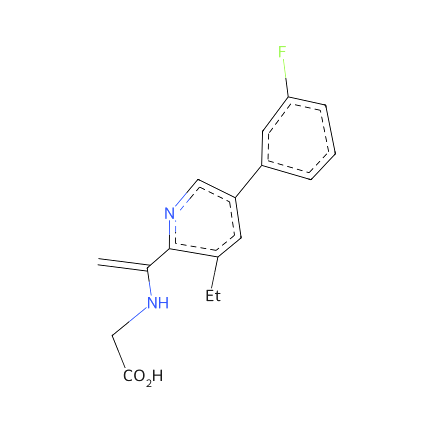 C=C(NCC(=O)O)c1ncc(-c2cccc(F)c2)cc1CC